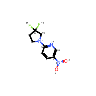 O=[N+]([O-])c1ccc(N2CCC(F)(F)C2)nc1